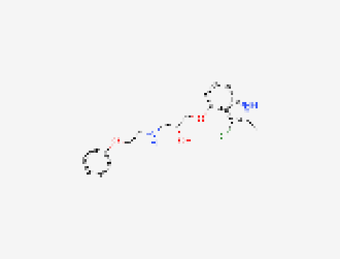 Cc1[nH]c2cccc(OCC(O)CNCCOc3ccccc3)c2c1Cl